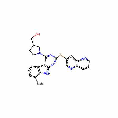 CNc1cccc2c1[nH]c1nc(Sc3cnc4cccnc4c3)nc(N3CCC(CO)C3)c12